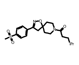 CC(C)CCC(=O)N1CCC2(CC1)CC(c1ccc(S(C)(=O)=O)cc1)=NO2